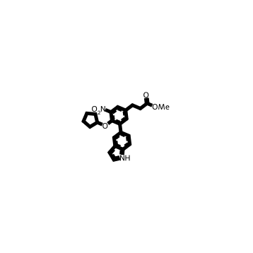 COC(=O)CCc1cc(-c2ccc3[nH]ccc3c2)c(OC2CCCC2)c([N+](=O)[O-])c1